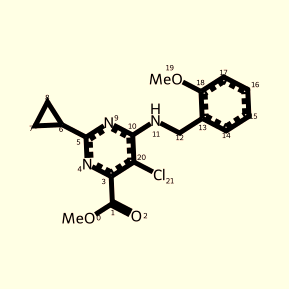 COC(=O)c1nc(C2CC2)nc(NCc2ccccc2OC)c1Cl